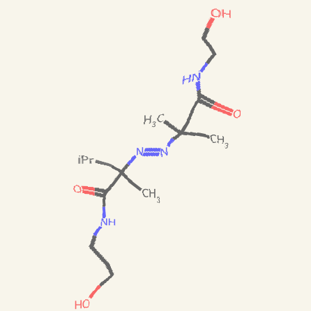 CC(C)C(C)(N=NC(C)(C)C(=O)NCCO)C(=O)NCCO